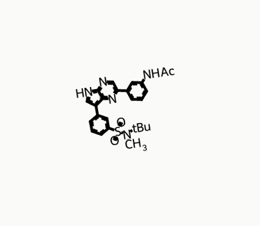 CC(=O)Nc1cccc(-c2cnc3[nH]cc(-c4cccc(S(=O)(=O)N(C)C(C)(C)C)c4)c3n2)c1